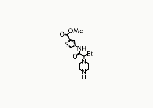 CCC(C(=O)Nc1csc(C(=O)OC)c1)N1CCNCC1